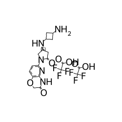 NC1CC(N[C@H]2CC(=O)N(c3ccc4c(n3)NC(=O)CO4)C2)C1.O=C(O)C(F)(F)F.O=C(O)C(F)(F)F